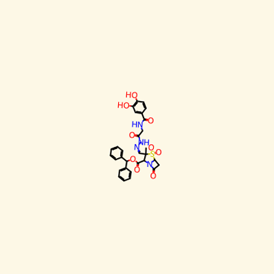 CC1(/C=N\NC(=O)CNC(=O)c2ccc(O)c(O)c2)C(C(=O)OC(c2ccccc2)c2ccccc2)N2C(=O)CC2S1(=O)=O